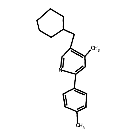 Cc1ccc(-c2cc(C)c(CC3CCCCC3)cn2)cc1